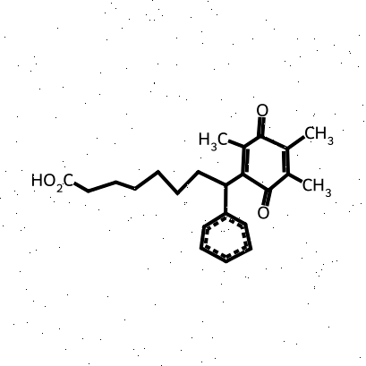 CC1=C(C)C(=O)C(C(CCCCCCC(=O)O)c2ccccc2)=C(C)C1=O